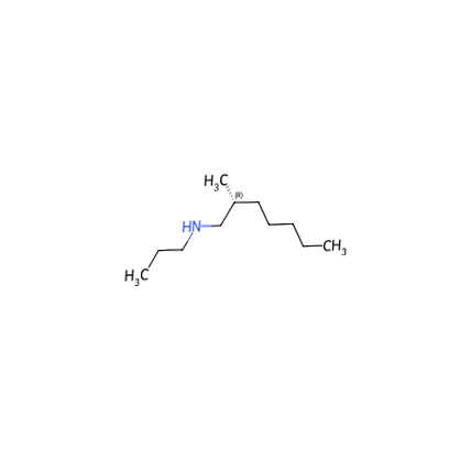 CCCCC[C@@H](C)CNCCC